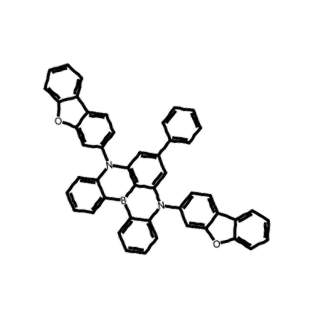 c1ccc(-c2cc3c4c(c2)N(c2ccc5c(c2)oc2ccccc25)c2ccccc2B4c2ccccc2N3c2ccc3c(c2)oc2ccccc23)cc1